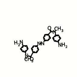 CN(C(=O)c1ccc(N=Nc2ccc(C(=O)N(C)c3ccc(N)cc3)cc2)cc1)c1ccc(N)cc1